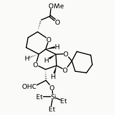 CC[Si](CC)(CC)OC(C=O)[C@@H]1O[C@H]2CC[C@H](CC(=O)OC)O[C@@H]2[C@@H]2OC3(CCCCC3)O[C@@H]21